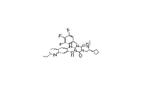 C/C=C1/C=C(Nc2nc(=O)n(CC(NCC)=C3CCC3)c(=O)n2Cc2cc(F)c(F)c(F)c2)C(O)=C/C1=N/C(C)CC